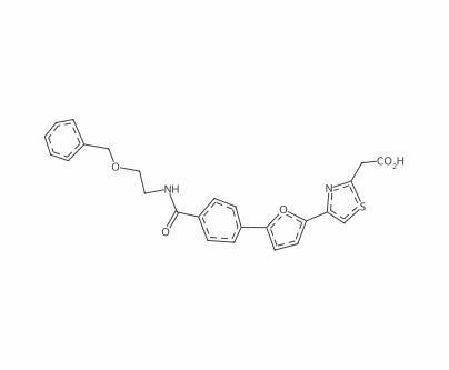 O=C(O)Cc1nc(-c2ccc(-c3ccc(C(=O)NCCOCc4ccccc4)cc3)o2)cs1